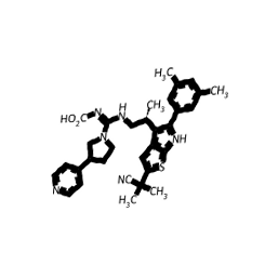 Cc1cc(C)cc(-c2[nH]c3sc(C(C)(C)C#N)cc3c2[C@@H](C)CNC(=NC(=O)O)N2CCC(c3ccncc3)C2)c1